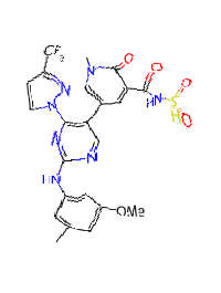 COc1cc(C)cc(Nc2ncc(-c3cc(C(=O)N[SH](=O)=O)c(=O)n(C)c3)c(-n3ccc(C(F)(F)F)n3)n2)c1